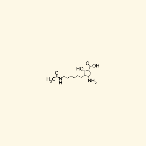 CC(=O)NCCCCCCC1C(N)CC(C(=O)O)C1O